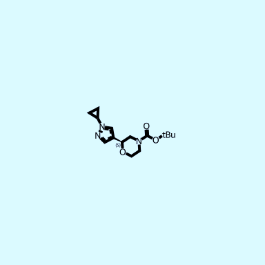 CC(C)(C)OC(=O)N1CCO[C@@H](c2cnn(C3CC3)c2)C1